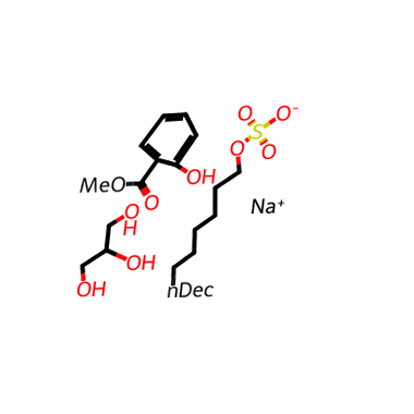 CCCCCCCCCCCCCCCCOS(=O)(=O)[O-].COC(=O)c1ccccc1O.OCC(O)CO.[Na+]